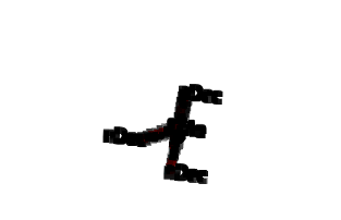 CCCCCCCCCCCCCCCCCCCCCCCS[C](CCCCCCCCCCCCCCCCCCCCCCC)C(CCCCCCCCCCCCCCCCCCCCC)SC